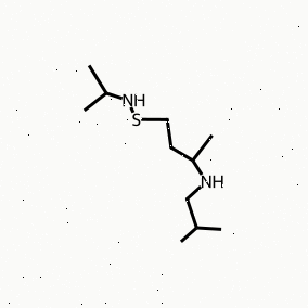 CC(C)CNC(C)CCSNC(C)C